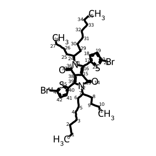 CCCCCCCC(CCCC)N1C(=O)C2=C(c3ccc(Br)s3)N(C(CCCC)CCCCCCC)C(=O)C2=C1c1ccc(Br)s1